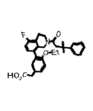 CCOc1ccc(CC(=O)O)cc1-c1ccc(F)c2c1CN(C(=O)CC(C)(C)c1ccccc1)CC2